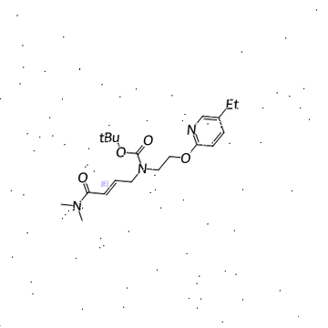 CCc1ccc(OCCN(C/C=C/C(=O)N(C)C)C(=O)OC(C)(C)C)nc1